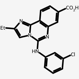 CCc1cn2c(Nc3cccc(Cl)c3)nc3cc(C(=O)O)ccc3c2n1